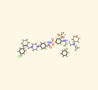 O=C(NS(=O)(=O)c1ccc(N[C@H](CCN(C2CCOCC2)C2CC2)CSc2ccccc2)c(S(=O)(=O)C(F)(F)F)c1)c1ccc(N2CCN(CC3=C(c4ccc(Cl)cc4)CCCC3)CC2)cc1